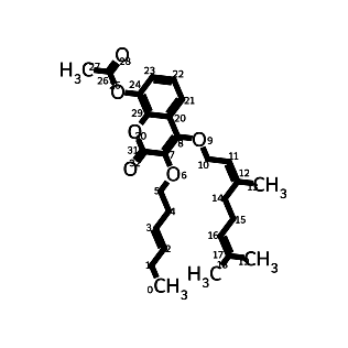 CCC=CCCOc1c(OCC=C(C)CCC=C(C)C)c2cccc(OC(C)=O)c2oc1=O